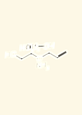 C=CCOCCO.N.N.O=S(=O)(O)O